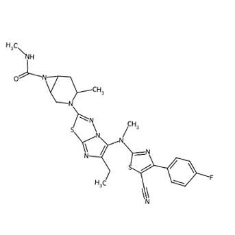 CCc1nc2sc(N3CC4C(CC3C)N4C(=O)NC)nn2c1N(C)c1nc(-c2ccc(F)cc2)c(C#N)s1